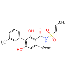 CC=CS(=O)(=O)NC(=O)c1c(CCCCC)cc(O)c(-c2cccc(C)c2)c1O